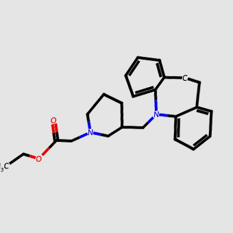 CCOC(=O)CN1CCCC(CN2c3ccccc3CCc3ccccc32)C1